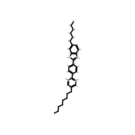 CCCCCCCCc1cnc(-c2ccc(-c3nc4ccc(CCCCCC)cc4s3)cc2)nc1